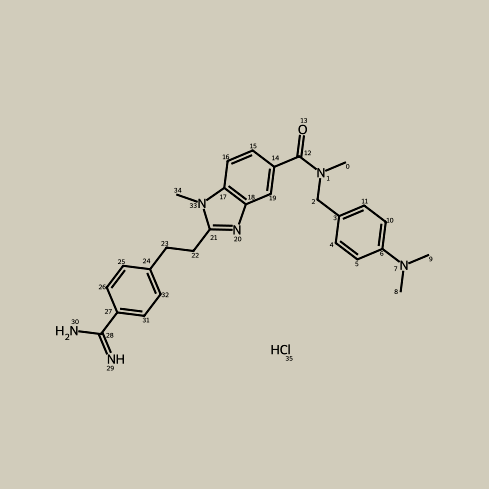 CN(Cc1ccc(N(C)C)cc1)C(=O)c1ccc2c(c1)nc(CCc1ccc(C(=N)N)cc1)n2C.Cl